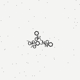 CCOC(=O)C(C)Oc1cccc(CN(CCC[S+]([O-])c2ccccc2)c2nc3ccccc3o2)c1